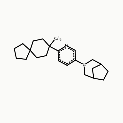 CC1(c2ccc(N3CC4CCC(C4)C3)cn2)CCC2(CCCC2)CC1